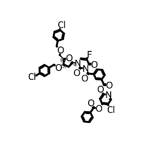 O=C(Oc1cc(OC(=O)c2ccccc2)c(Cl)cn1)c1cccc(C(=O)n2c(=O)c(F)cn([C@H]3C[C@H](OCc4ccc(Cl)cc4)[C@@H](COCc4ccc(Cl)cc4)O3)c2=O)c1